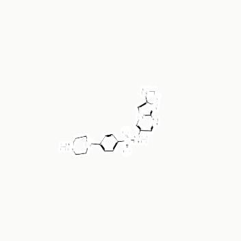 Nc1cn2cc(NS(=O)(=O)c3ccc(N4CCNCC4)cc3)cnc2n1